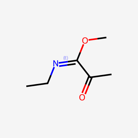 CC/N=C(/OC)C(C)=O